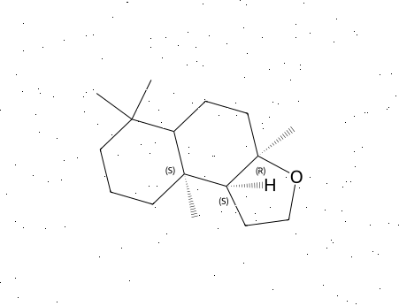 CC1(C)CCC[C@@]2(C)C1CC[C@@]1(C)OCC[C@H]12